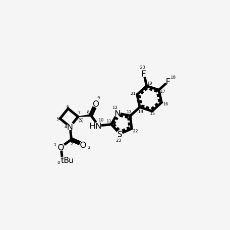 CC(C)(C)OC(=O)N1CC[C@H]1C(=O)Nc1nc(-c2ccc(F)c(F)c2)cs1